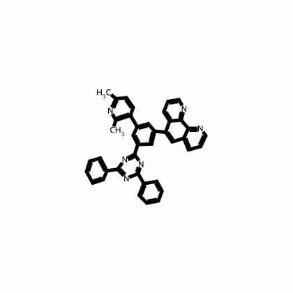 Cc1ccc(-c2cc(-c3nc(-c4ccccc4)nc(-c4ccccc4)n3)cc(-c3cc4cccnc4c4ncccc34)c2)c(C)n1